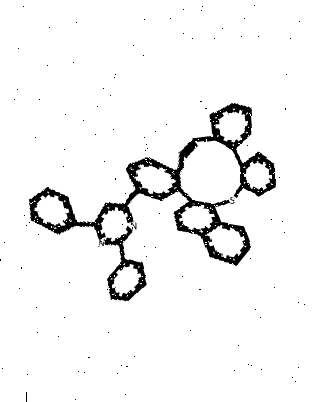 C1=C\c2ccc(-c3cc(-c4ccccc4)nc(-c4ccccc4)n3)cc2-c2ccc3ccccc3c2Sc2ccccc2-c2ccccc2/1